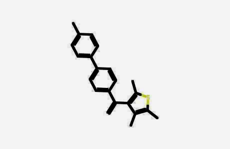 C=C(c1ccc(-c2ccc(C)cc2)cc1)c1c(C)sc(C)c1C